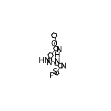 Fc1ccc(-c2cncc3[nH]c(-c4n[nH]c5ccc(-c6cncc(OCc7ccccc7)c6)cc45)cc23)s1